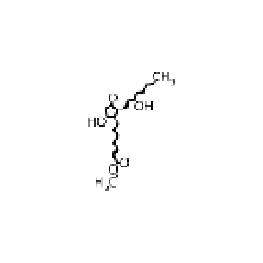 CCCCC[C@H](O)C=C[C@H]1C(=O)C[C@H](O)[C@@H]1CCCCC=CC(=O)OCC